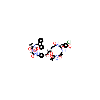 COc1ccc(C[C@H]2NC(=O)/C=C/C[C@@H]([C@H](C)[C@H]3O[C@@H]3c3ccc(CNC(=O)[C@H](C)NC(=O)[C@H](C(C)C)N(CC4c5ccccc5-c5ccccc54)C(=O)O)cc3)OC(=O)[C@H](CC(C)(C)C)NC(=O)C(C)(C)CNC2=O)cc1Cl